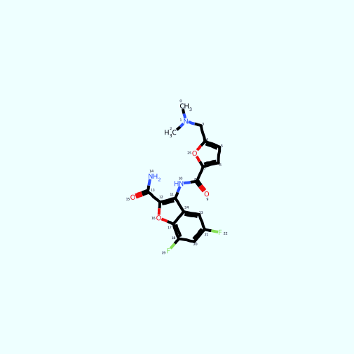 CN(C)Cc1ccc(C(=O)Nc2c(C(N)=O)oc3c(F)cc(F)cc23)o1